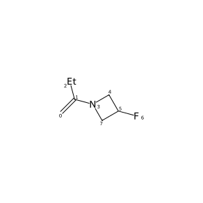 C=C(CC)N1CC(F)C1